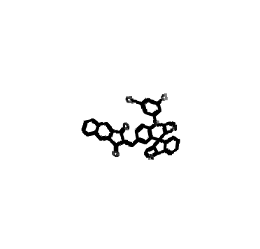 O=C1C(=Cc2ccc3c(c2)C2(c4ccccc4-c4ncccc42)c2cnccc2N3c2cc(Cl)cc(Cl)c2)C(=O)c2cc3ccccc3cc21